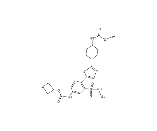 CC(C)OC(=O)NC1CCC(c2ncc(-c3ccc(NC(=O)OC4COC4)cc3S(=O)(=O)NC(C)(C)C)s2)CC1